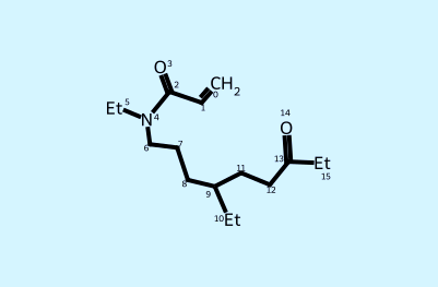 C=CC(=O)N(CC)CCCC(CC)CCC(=O)CC